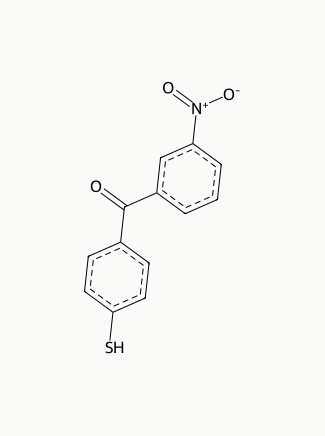 O=C(c1ccc(S)cc1)c1cccc([N+](=O)[O-])c1